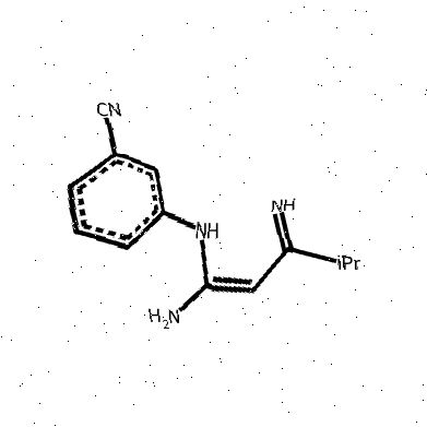 CC(C)C(=N)/C=C(/N)Nc1cccc(C#N)c1